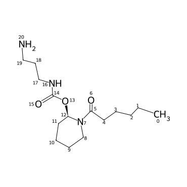 CCCCCC(=O)N1CCCC[C@H]1OC(=O)NCCCN